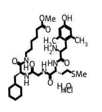 COC(=O)CCCCCNC(=O)[C@H](CC1CCCCC1)NC(=O)CNC(=O)[C@@H](CCSC)NC(=O)[C@@H](N)Cc1c(C)cc(O)cc1C.Cl.O